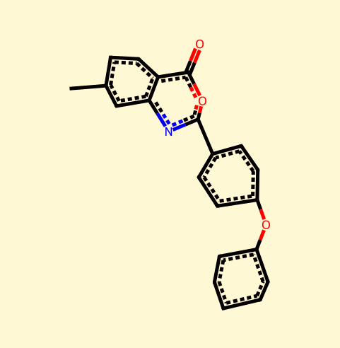 Cc1ccc2c(=O)oc(-c3ccc(Oc4ccccc4)cc3)nc2c1